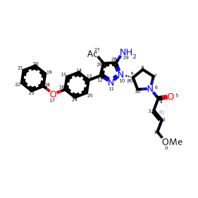 COC/C=C/C(=O)N1CC[C@@H](n2nc(-c3ccc(Oc4ccccc4)cc3)c(C(C)=O)c2N)C1